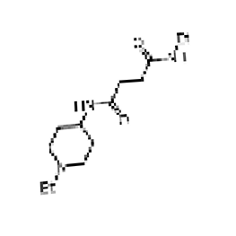 CCNC(=O)CCC(=O)NC1CCN(CC)CC1